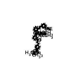 CC(C)(C)OC(=O)C[C@H](NC(=O)[C@@H]1CCCN(C(=O)CCC2CCN(C(=O)OC(C)(C)C)CC2)C1)c1cccnc1C=Cc1cccc(OCCF)c1